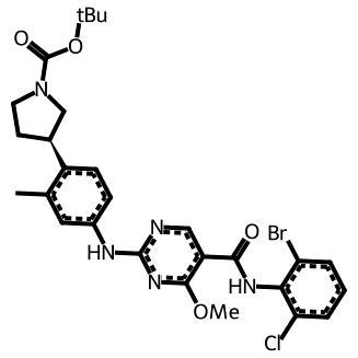 COc1nc(Nc2ccc([C@H]3CCN(C(=O)OC(C)(C)C)C3)c(C)c2)ncc1C(=O)Nc1c(Cl)cccc1Br